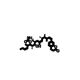 CC/C=C\C(C)[C@H](OC(N)=O)[C@@H](C)[C@H](O)[C@@H](C)C/C(C)=C\[C@H](C)[C@@H](C)C(C)/C=C\c1ccc2c(c1)OC(=O)CC2